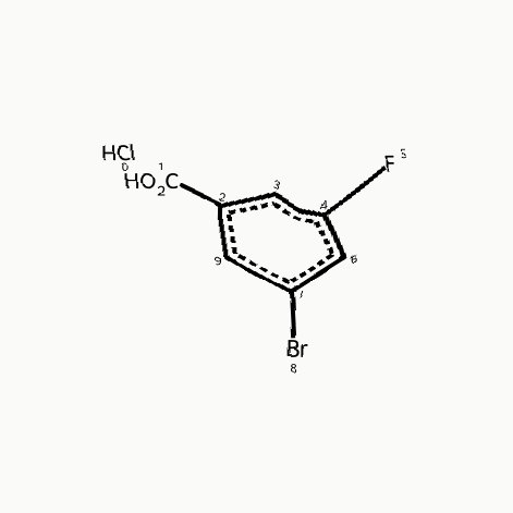 Cl.O=C(O)c1cc(F)cc(Br)c1